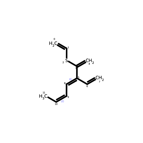 C=CSC(=C)/C(C=C)=C/C=C\C